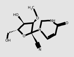 CO[C@@H]1[C@H](O)[C@@H](CO)O[C@@]1(C#N)N1C=CC(=O)NC1